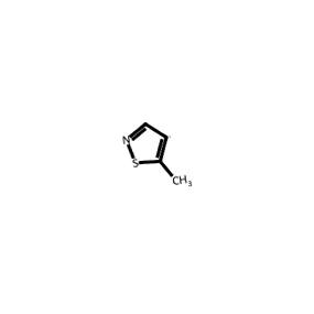 Cc1[c]cns1